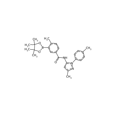 Cc1ccc(-n2nc(C)cc2NC(=O)c2ccc(C)c(B3OC(C)(C)C(C)(C)O3)c2)cc1